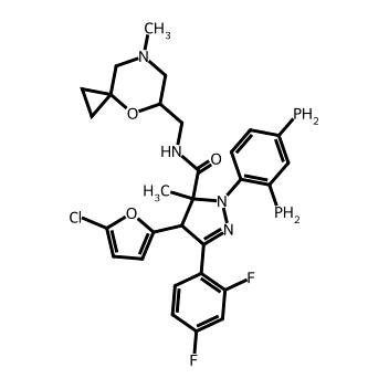 CN1CC(CNC(=O)C2(C)C(c3ccc(Cl)o3)C(c3ccc(F)cc3F)=NN2c2ccc(P)cc2P)OC2(CC2)C1